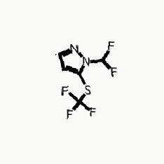 FC(F)n1n[c]cc1SC(F)(F)F